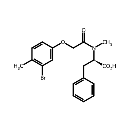 Cc1ccc(OCC(=O)N(C)[C@H](Cc2ccccc2)C(=O)O)cc1Br